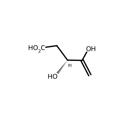 C=C(O)[C@H](O)CC(=O)O